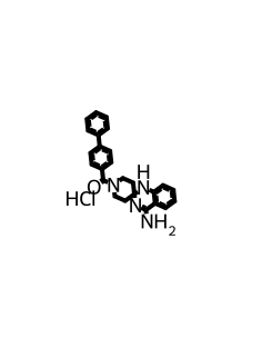 Cl.NC1=NC2(CCN(C(=O)c3ccc(-c4ccccc4)cc3)CC2)Nc2ccccc21